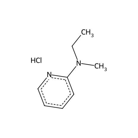 CCN(C)c1ccccn1.Cl